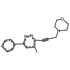 Cc1cc(-c2ccccc2)nnc1C#CCN1CCOCC1